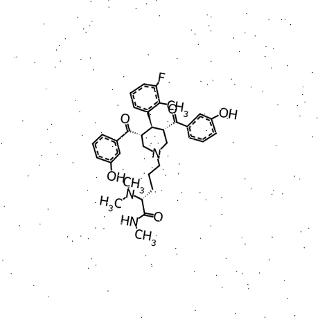 CNC(=O)[C@@H](CCCN1C[C@H](C(=O)c2cccc(O)c2)[C@@H](c2cccc(F)c2C)[C@H](C(=O)c2cccc(O)c2)C1)N(C)C